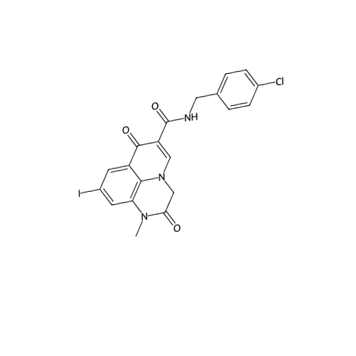 CN1C(=O)Cn2cc(C(=O)NCc3ccc(Cl)cc3)c(=O)c3cc(I)cc1c32